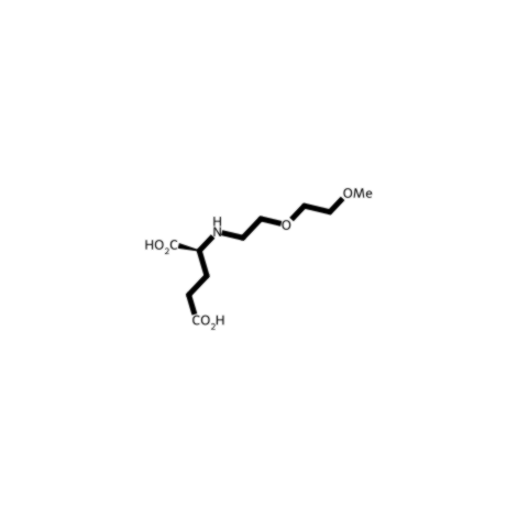 COCCOCCN[C@@H](CCC(=O)O)C(=O)O